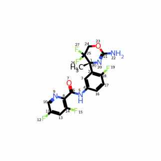 C[C@]1(c2cc(NC(=O)c3ncc(F)cc3F)ccc2F)N=C(N)OCC1(F)F